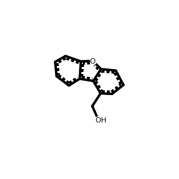 OCc1cccc2oc3ccccc3c12